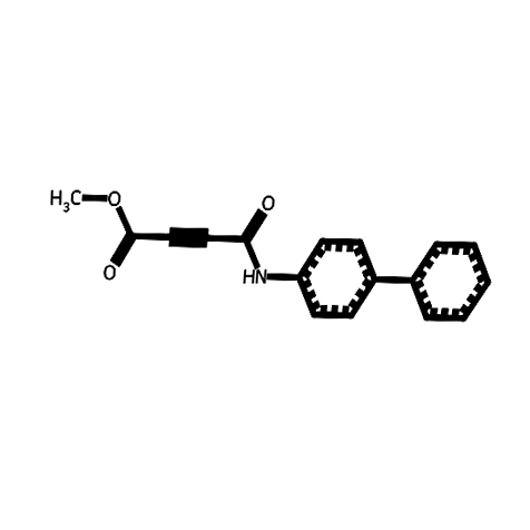 COC(=O)C#CC(=O)Nc1ccc(-c2ccccc2)cc1